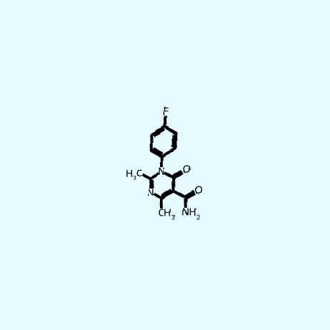 Cc1nc(C)n(-c2ccc(F)cc2)c(=O)c1C(N)=O